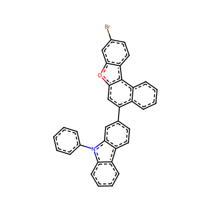 Brc1ccc2c(c1)oc1cc(-c3ccc4c5ccccc5n(-c5ccccc5)c4c3)c3ccccc3c12